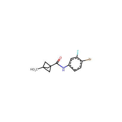 O=C(O)C12CC(C(=O)Nc3ccc(Br)c(F)c3)(C1)C2